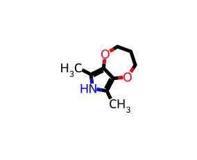 Cc1[nH]c(C)c2c1OCCCO2